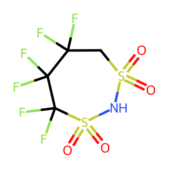 O=S1(=O)CC(F)(F)C(F)(F)C(F)(F)S(=O)(=O)N1